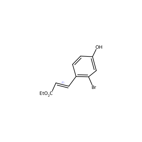 CCOC(=O)/C=C/c1ccc(O)cc1Br